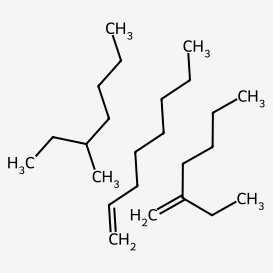 C=C(CC)CCCC.C=CCCCCCC.CCCCC(C)CC